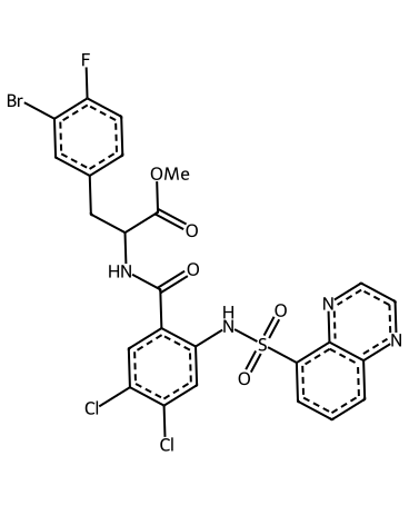 COC(=O)C(Cc1ccc(F)c(Br)c1)NC(=O)c1cc(Cl)c(Cl)cc1NS(=O)(=O)c1cccc2nccnc12